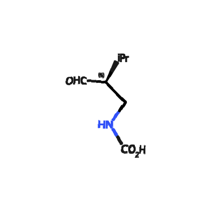 CC(C)[C@H](C=O)CNC(=O)O